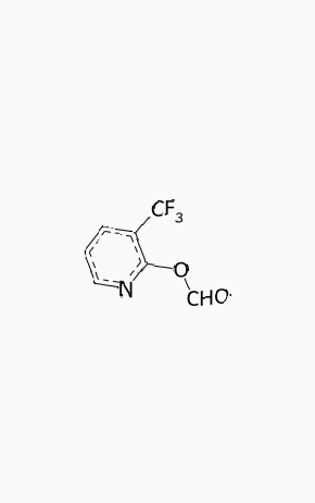 O=[C]Oc1ncccc1C(F)(F)F